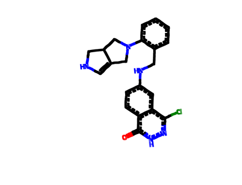 O=c1[nH]nc(Cl)c2cc(NCc3ccccc3N3CC4=CNCC4C3)ccc12